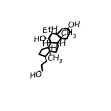 CC[C@H]1[C@@H](O)[C@@H]2[C@H](CC[C@]3(C)[C@@H](CCCO)CC[C@@H]23)[C@@]2(C)CC[C@@H](O)C[C@@H]12